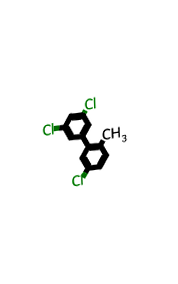 Cc1ccc(Cl)cc1-c1cc(Cl)cc(Cl)c1